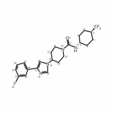 O=C(N[C@H]1CC[C@H](C(F)(F)F)CC1)N1CCC(n2cnc(-c3cccc(F)c3)c2)CC1